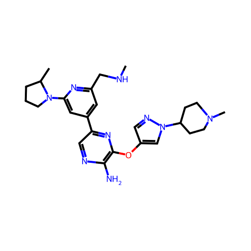 CNCc1cc(-c2cnc(N)c(Oc3cnn(C4CCN(C)CC4)c3)n2)cc(N2CCCC2C)n1